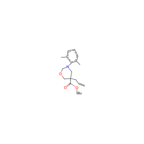 C=CCC1(C(=O)OC(C)(C)C)COCN(c2c(C)cccc2C)C1